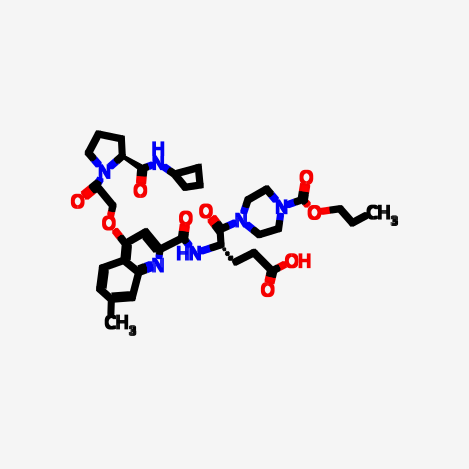 CCCOC(=O)N1CCN(C(=O)[C@H](CCC(=O)O)NC(=O)c2cc(OCC(=O)N3CCC[C@H]3C(=O)NC3CCC3)c3ccc(C)cc3n2)CC1